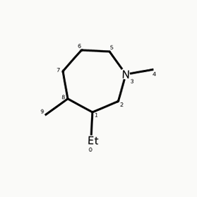 CCC1CN(C)CCCC1C